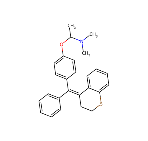 CC(Oc1ccc(/C(=C2/CCSc3ccccc32)c2ccccc2)cc1)N(C)C